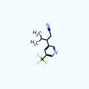 CC(C)C(CC#N)c1cncc(C(F)(F)F)c1